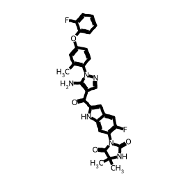 Cc1cc(Oc2ccccc2F)ccc1-n1ncc(C(=O)c2cc3cc(F)c(N4C(=O)NC(C)(C)C4=O)cc3[nH]2)c1N